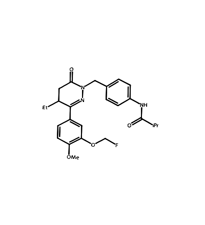 CCC1CC(=O)N(Cc2ccc(NC(=O)C(C)C)cc2)N=C1c1ccc(OC)c(OCF)c1